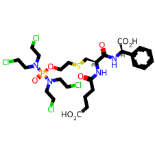 O=C(O)CCCC(=O)N[C@@H](CSCCOP(=O)(N(CCCl)CCCl)N(CCCl)CCCl)C(=O)N[C@@H](C(=O)O)c1ccccc1